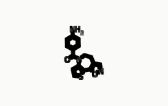 Nc1ccc(C(=O)N2CCc3cnoc3-c3sccc32)cc1